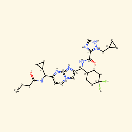 O=C(CCC(F)(F)F)NC(c1ccn2cc(C(NC(=O)c3ncnn3CC3CC3)C3CCC(F)(F)CC3)nc2n1)C1CC1